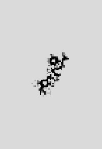 O=C(C1CSCN1Cc1cc(Cl)c(CO)cc1Cl)N1CCN(C2CC2)c2ccccc21